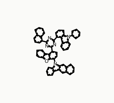 c1ccc(-n2c3ccccc3c3c(-c4nc(-c5cccc6ccccc56)nc(-c5ccc(-n6c7ccccc7c7cc8ccccc8cc76)c6oc7ccccc7c56)n4)cccc32)cc1